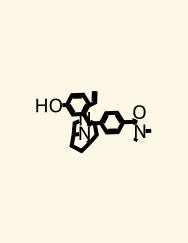 C=CCN1CCC2CCC(C1)N2C(c1ccc(C(=O)N(C)C)cc1)c1cccc(O)c1